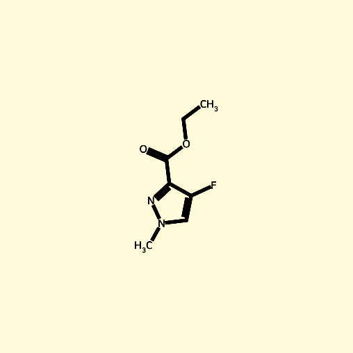 CCOC(=O)c1nn(C)cc1F